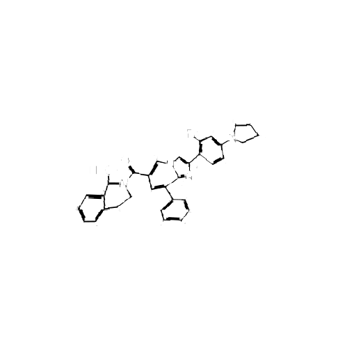 CC1c2ccccc2CCN1C(=O)c1cc(-c2ccccc2)c2nc(-c3ccc(N4CCCC4)cc3F)cn2c1